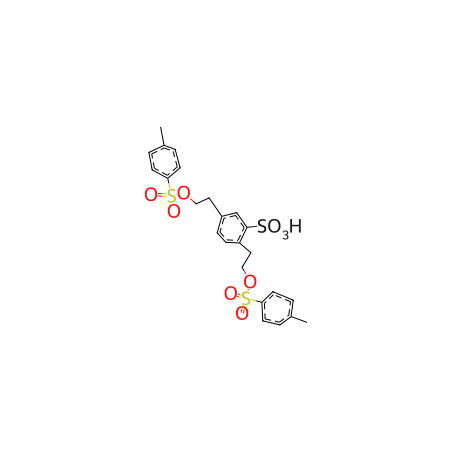 Cc1ccc(S(=O)(=O)OCCc2ccc(CCOS(=O)(=O)c3ccc(C)cc3)c(S(=O)(=O)O)c2)cc1